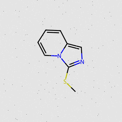 CSc1ncc2ccccn12